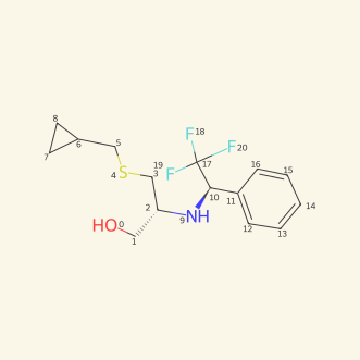 OC[C@H](CSCC1CC1)N[C@H](c1ccccc1)C(F)(F)F